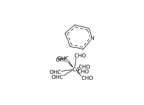 O=[CH][Co]([CH]=O)([CH]=O)([CH]=O)([CH]=O)([CH]=O)([CH]=O)[CH]=O.c1ccncc1